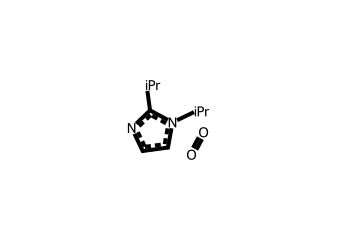 CC(C)c1nccn1C(C)C.O=O